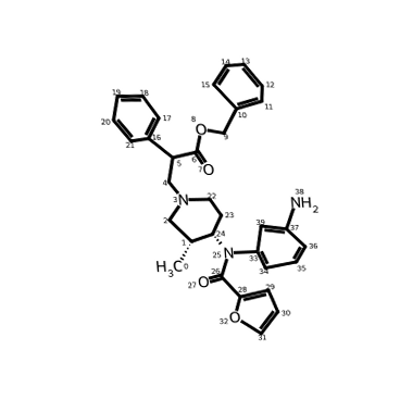 C[C@@H]1CN(CC(C(=O)OCc2ccccc2)c2ccccc2)CC[C@@H]1N(C(=O)c1ccco1)c1cccc(N)c1